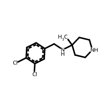 CC1(NCc2ccc(Cl)c(Cl)c2)CCNCC1